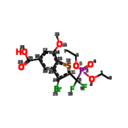 CCOP(=O)(OCC)C(F)(F)c1sc2c(OC)cc(C(=O)O)cc2c1Br